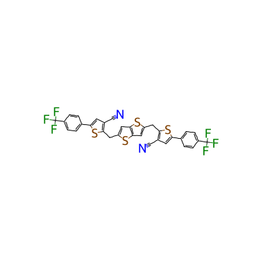 N#Cc1cc(-c2ccc(C(F)(F)F)cc2)sc1Cc1cc2sc(Cc3sc(-c4ccc(C(F)(F)F)cc4)cc3C#N)cc2s1